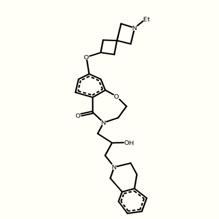 CCN1CC2(CC(Oc3ccc4c(c3)OCCN(CC(O)CN3CCc5ccccc5C3)C4=O)C2)C1